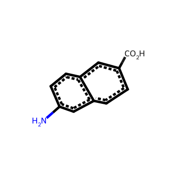 Nc1ccc2cc(C(=O)O)ccc2c1